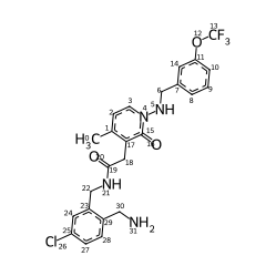 Cc1ccn(NCc2cccc(OC(F)(F)F)c2)c(=O)c1CC(=O)NCc1cc(Cl)ccc1CN